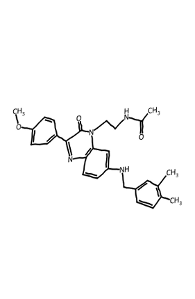 COc1ccc(-c2nc3ccc(NCc4ccc(C)c(C)c4)cc3n(CCNC(C)=O)c2=O)cc1